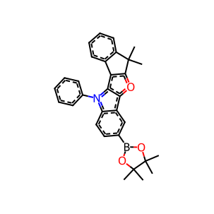 CC1(C)c2ccccc2-c2c1oc1c3cc(B4OC(C)(C)C(C)(C)O4)ccc3n(-c3ccccc3)c21